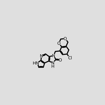 O=c1[nH]c2c3cc[nH]c3ncc2n1CC1=CC(Cl)CC2=C1OCOC2